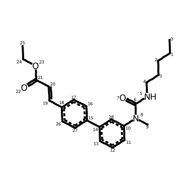 CCCCCNC(=O)N(C)c1cccc(-c2ccc(C=CC(=O)OCC)cc2)c1